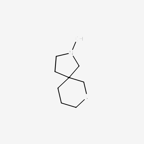 CN1CCC2(CC[CH2][V][CH2]2)C1